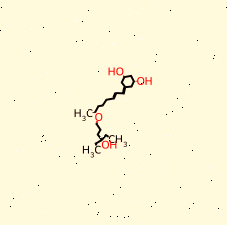 CCC(O)(CC)CCCO[C@H](C)CCC/C=C/C=C1C[C@@H](O)C[C@H](O)C1